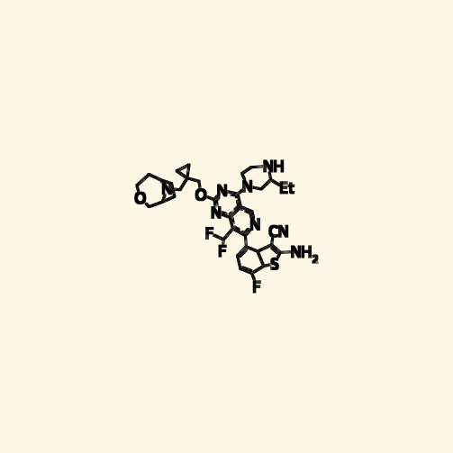 CCC1CN(c2nc(OCC3(CN4C5CCOCC4CC5)CC3)nc3c(C(F)F)c(C4=CC=C(F)C5SC(N)=C(C#N)C45)ncc23)CCN1